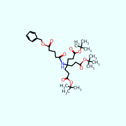 CC(C)(C)OC(=O)CCC(CCC(=O)OC(C)(C)C)(CCC(=O)OC(C)(C)C)NC(=O)CCCC(=O)OCc1ccccc1